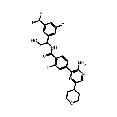 Nc1ncc(C2CCOCC2)nc1-c1ccc(C(=O)NC(CO)c2cc(F)cc(C(F)F)c2)c(F)c1